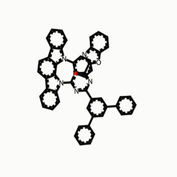 c1ccc(-c2cc(-c3ccccc3)cc(-c3nc(-c4nc5ccccc5o4)nc(-n4c5ccccc5c5ccc6c7ccccc7n(-c7ccccc7)c6c54)n3)c2)cc1